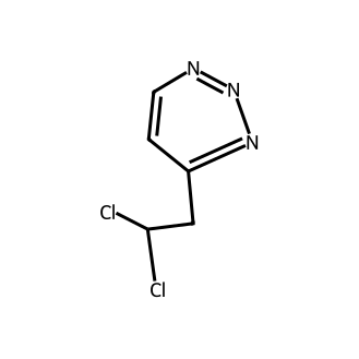 ClC(Cl)Cc1ccnnn1